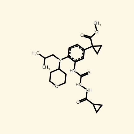 COC(=O)C1(c2ccc(N(CC(C)C)C3CCOCC3)c(NC(=S)NNC(=O)C3CC3)c2)CC1